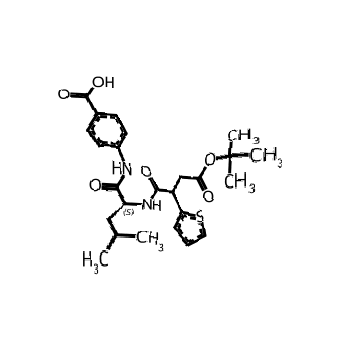 CC(C)C[C@H](NC(=O)C(CC(=O)OC(C)(C)C)c1cccs1)C(=O)Nc1ccc(C(=O)O)cc1